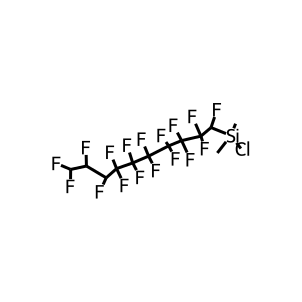 C[Si](C)(Cl)C(F)C(F)(F)C(F)(F)C(F)(F)C(F)(F)C(F)(F)C(F)(F)C(F)C(F)C(F)F